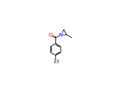 CCc1ccc(C(=O)N2CC2C)cc1